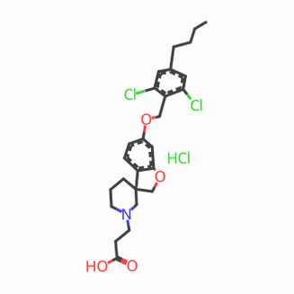 CCCCc1cc(Cl)c(COc2ccc3c(c2)OCC32CCCN(CCC(=O)O)C2)c(Cl)c1.Cl